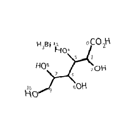 O=C(O)C(O)C(O)C(O)C(O)CO.[BiH3]